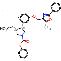 Cc1oc(-c2ccccc2)nc1COc1cccc([C@@H]2CN(C(=O)Oc3ccccc3)C[C@@H]2CC(=O)O)c1